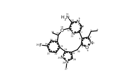 CCc1noc2c1-c1cnc(N)c(n1)OC(C)c1cc(F)ccc1-c1nn(C)cc1C2